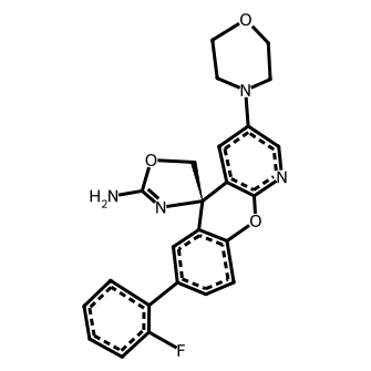 NC1=N[C@@]2(CO1)c1cc(-c3ccccc3F)ccc1Oc1ncc(N3CCOCC3)cc12